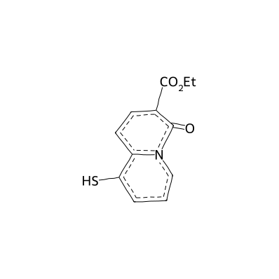 CCOC(=O)c1ccc2c(S)cccn2c1=O